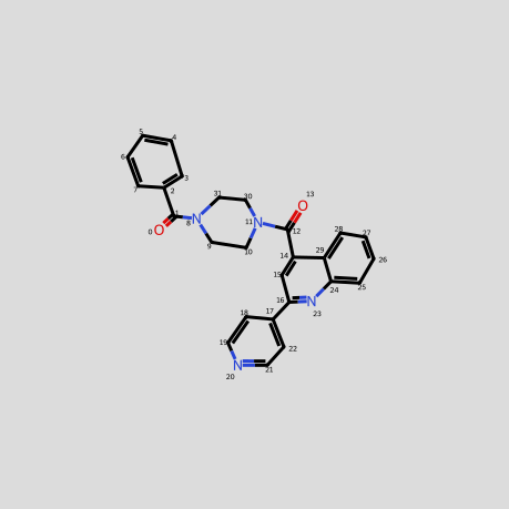 O=C(c1ccccc1)N1CCN(C(=O)c2cc(-c3ccncc3)nc3ccccc23)CC1